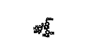 CCn1ncc(CN(C)C(=O)c2nc(-c3cc(C#N)c4nc[nH]c4c3)nc3ccc(COC)cc23)c1C